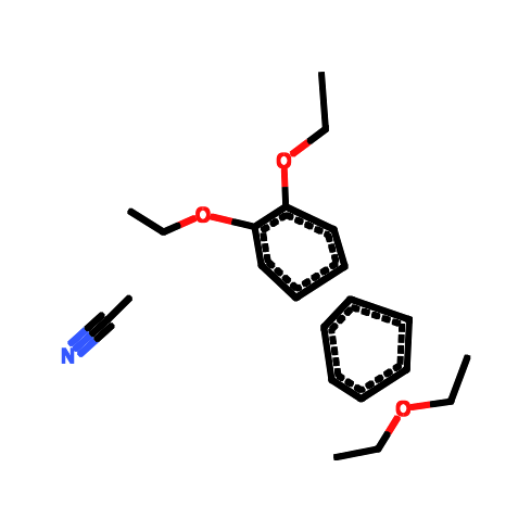 CC#N.CCOCC.CCOc1ccccc1OCC.c1ccccc1